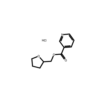 Cl.O=C(OCC1CCCO1)c1cccnc1